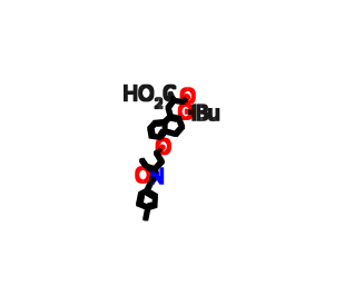 CCC(C)OC(=O)C(CC1=CCCc2c(OCCc3nc(-c4ccc(C)cc4)oc3C)cccc21)C(=O)O